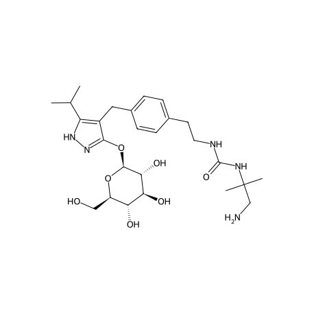 CC(C)c1[nH]nc(O[C@@H]2O[C@H](CO)[C@@H](O)[C@H](O)[C@H]2O)c1Cc1ccc(CCNC(=O)NC(C)(C)CN)cc1